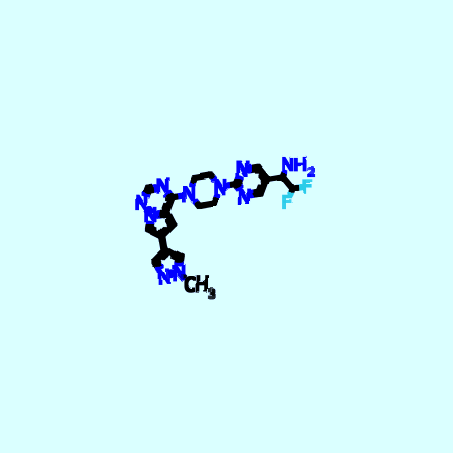 Cn1cc(-c2cc3c(N4CCN(c5ncc(C(N)C(F)F)cn5)CC4)ncnn3c2)cn1